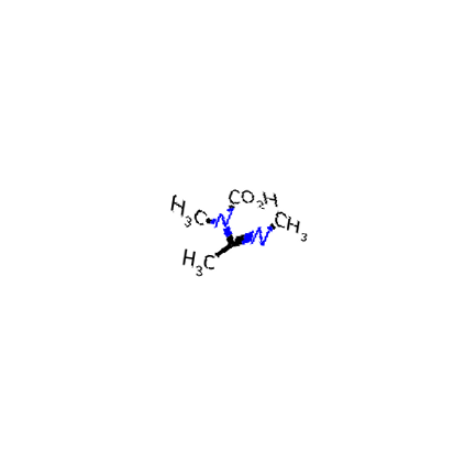 C/N=C(/C)N(C)C(=O)O